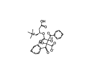 C[N+](C)(C)C[C@@H](CC(=O)O)OC(=O)C(O)(C(=O)c1ccccc1)C(O)(C(=O)[O-])C(=O)c1ccccc1